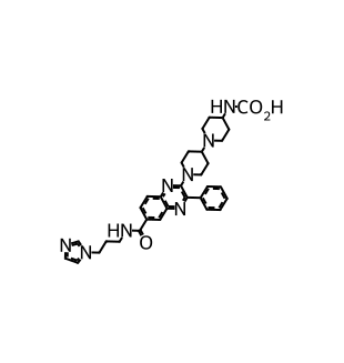 O=C(O)NC1CCN(C2CCN(c3nc4ccc(C(=O)NCCCn5ccnc5)cc4nc3-c3ccccc3)CC2)CC1